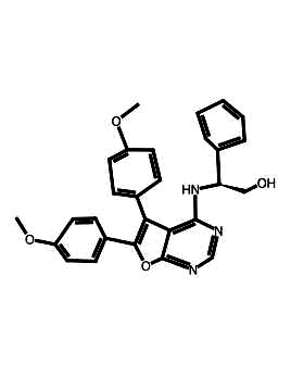 COc1ccc(-c2oc3ncnc(N[C@H](CO)c4ccccc4)c3c2-c2ccc(OC)cc2)cc1